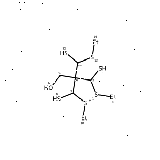 CCSC(S)C(CO)(C(S)SCC)C(S)SCC